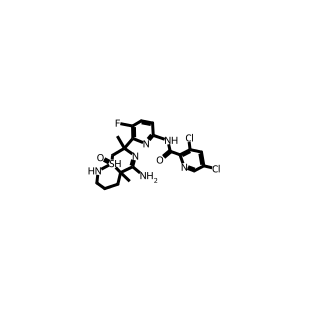 CC1(c2nc(NC(=O)c3ncc(Cl)cc3Cl)ccc2F)C[SH]2(=O)NCCCC2(C)C(N)=N1